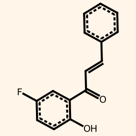 O=C(C=Cc1ccccc1)c1cc(F)ccc1O